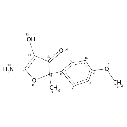 COc1ccc(C2(C)OC(N)=C(O)C2=O)cc1